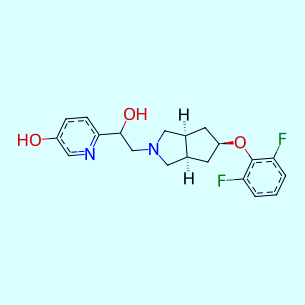 Oc1ccc(C(O)CN2C[C@H]3C[C@@H](Oc4c(F)cccc4F)C[C@H]3C2)nc1